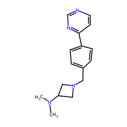 CN(C)C1CN(Cc2ccc(-c3ccncn3)cc2)C1